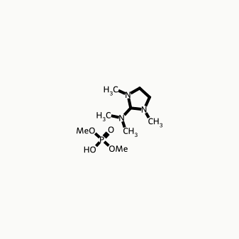 CN(C)C1N(C)CCN1C.COP(=O)(O)OC